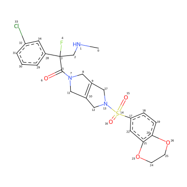 CNCC(F)(C(=O)N1CC2=C(C1)CN(S(=O)(=O)c1ccc3c(c1)OCCO3)C2)c1cccc(Cl)c1